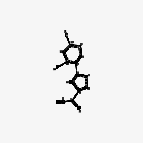 COC(=O)c1ccc(-c2ccc(F)cc2F)o1